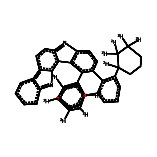 [2H]c1c([2H])c([2H])c(-c2c(-c3c(-c4ccccc4)cccc3C3([2H])CCCC([2H])([2H])C3([2H])[2H])ccc3c2-c2c4c(ccc2=N3)=c2ccccc2=N4)c([2H])c1[2H]